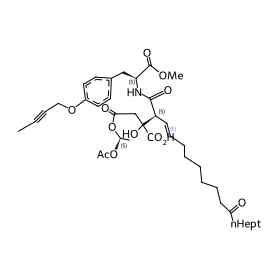 CC#CCOc1ccc(C[C@H](NC(=O)[C@@H](/C=C/CCCCCCC(=O)CCCCCCC)C(O)(CC(=O)O[C@@H](C)OC(C)=O)C(=O)O)C(=O)OC)cc1